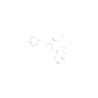 CC(C)(C)OC(=O)N1C(Cc2ccc(I)cc2)CCC1[C@H](O[Si](C)(C)C(C)(C)C)c1cccnc1